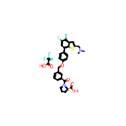 CN(C)Cc1cc2c(F)c(F)cc(-c3ccc(OCc4cccc(C(=O)N5CCC[C@H]5C(=O)O)c4)cc3)c2s1.O=C(O)C(F)(F)F